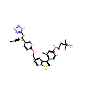 CC#C[C@@H](Cc1nnn[nH]1)c1ccc(OCc2ccc3scc(-c4ccc(OCCC(C)(C)O)cc4C)c3c2)nc1